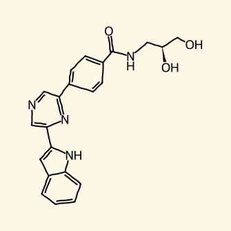 O=C(NC[C@H](O)CO)c1ccc(-c2cncc(-c3cc4ccccc4[nH]3)n2)cc1